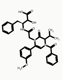 COc1cccc(C2=CN(C(=O)c3ccccc3)C(C(C)C)C(=O)N2CC(=O)N[C@@H](Cc2ccccc2)C(O)C(=O)O)c1